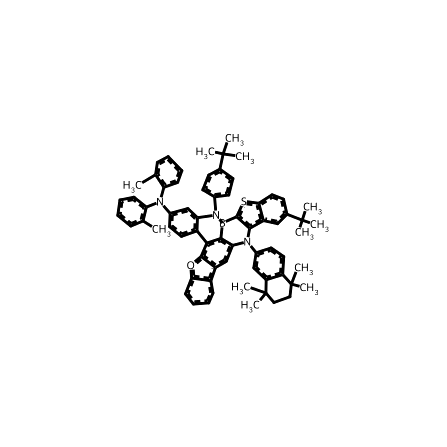 Cc1ccccc1N(c1ccc2c(c1)N(c1ccc(C(C)(C)C)cc1)B1c3sc4ccc(C(C)(C)C)cc4c3N(c3ccc4c(c3)C(C)(C)CCC4(C)C)c3cc4c(oc5ccccc54)c-2c31)c1ccccc1C